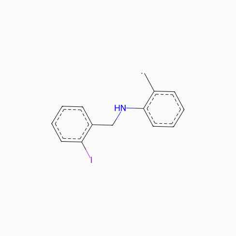 [CH2]c1ccccc1NCc1ccccc1I